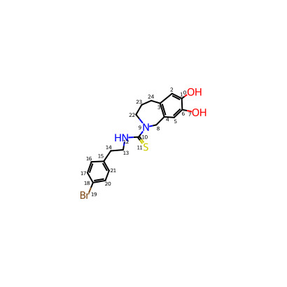 Oc1cc2c(cc1O)CN(C(=S)NCCc1ccc(Br)cc1)CCC2